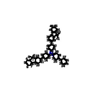 CC1(C)c2ccccc2-c2ccc(-c3ccc(N(c4ccc(-c5ccccc5)cc4)c4ccc(-c5ccc6c(c5)C(C)(C)c5ccccc5-6)cc4)cc3)cc21